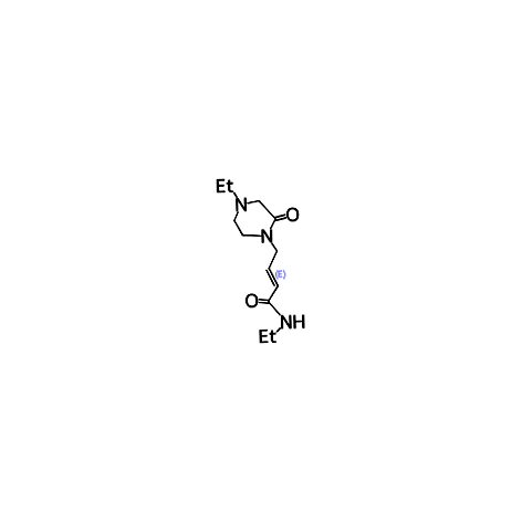 CCNC(=O)/C=C/CN1CCN(CC)CC1=O